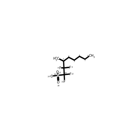 CCCCCC(C)C(F)(F)C(F)(F)S([O])(=O)=O